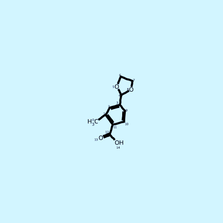 Cc1cc(C2OCCO2)ccc1C(=O)O